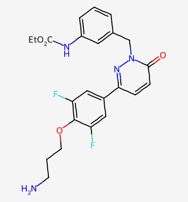 CCOC(=O)Nc1cccc(Cn2nc(-c3cc(F)c(OCCCN)c(F)c3)ccc2=O)c1